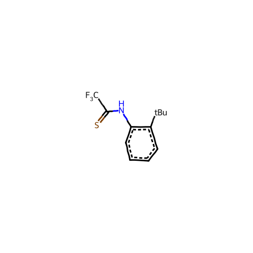 CC(C)(C)c1ccccc1NC(=S)C(F)(F)F